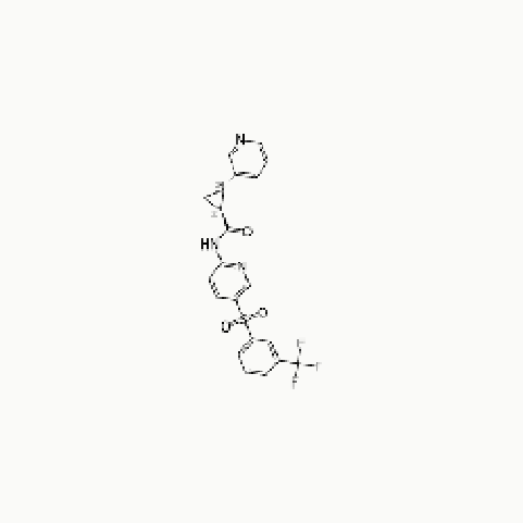 O=C(Nc1ccc(S(=O)(=O)c2cccc(C(F)(F)F)c2)cn1)[C@H]1C[C@@H]1c1cccnc1